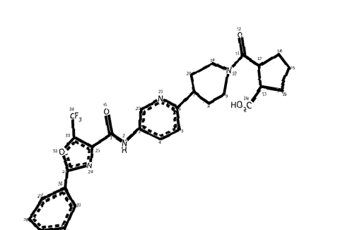 O=C(Nc1ccc(C2CCN(C(=O)C3CCCC3C(=O)O)CC2)nc1)c1nc(-c2ccccc2)oc1C(F)(F)F